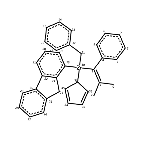 CC(C)=[C](c1ccccc1)[Zr]([CH2]c1ccccc1)([c]1cccc2c1Cc1ccccc1-2)[CH]1C=CC=C1